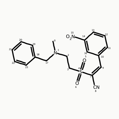 CN(CCS(=O)(=O)C(C#N)=Cc1cccc([N+](=O)[O-])c1)Cc1ccccc1